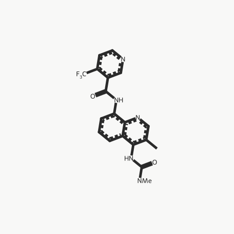 CNC(=O)Nc1c(C)cnc2c(NC(=O)c3cnccc3C(F)(F)F)cccc12